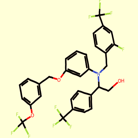 OCC(c1ccc(C(F)(F)F)cc1)N(Cc1ccc(C(F)(F)F)cc1F)c1cccc(OCc2cccc(OC(F)(F)F)c2)c1